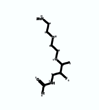 CCC(=O)NCC(F)C(C)OCCOCCNC